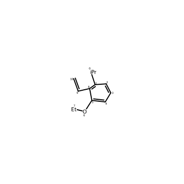 [CH2]C(C)c1cccc(OCC)c1C=C